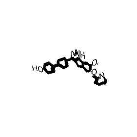 COc1cc2c(cc1OCc1ccccn1)Cc1c(-c3ccc(-c4ccc(O)cc4)cc3)n[nH]c1-2